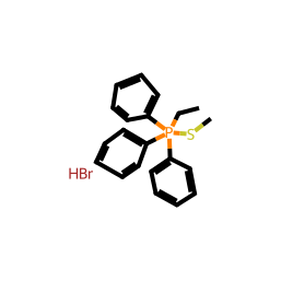 Br.CCP(SC)(c1ccccc1)(c1ccccc1)c1ccccc1